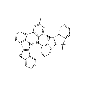 Cc1cc2c3c(c1)-n1c4c(c5cccc(c51)B3n1c3c-2cccc3c2sc3ccccc3c21)C(C)(C)c1ccccc1-4